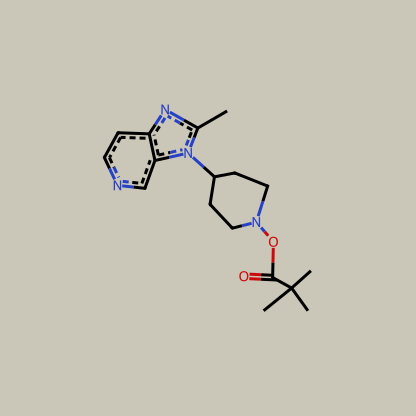 Cc1nc2ccncc2n1C1CCN(OC(=O)C(C)(C)C)CC1